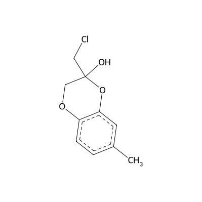 Cc1ccc2c(c1)OC(O)(CCl)CO2